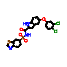 O=C(NS(=O)(=O)c1ccc2ncsc2c1)c1cc2cc(Oc3ccc(Cl)c(Cl)c3)ccc2[nH]1